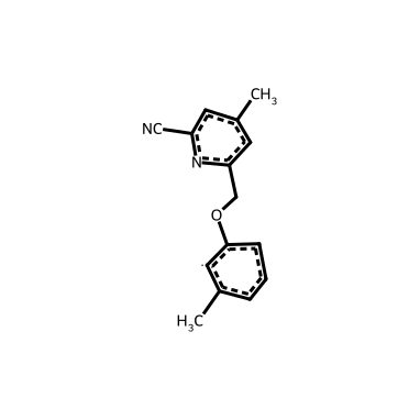 Cc1[c]c(OCc2cc(C)cc(C#N)n2)ccc1